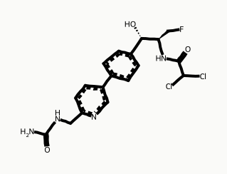 NC(=O)NCc1ccc(-c2ccc([C@H](O)[C@@H](CF)NC(=O)C(Cl)Cl)cc2)cn1